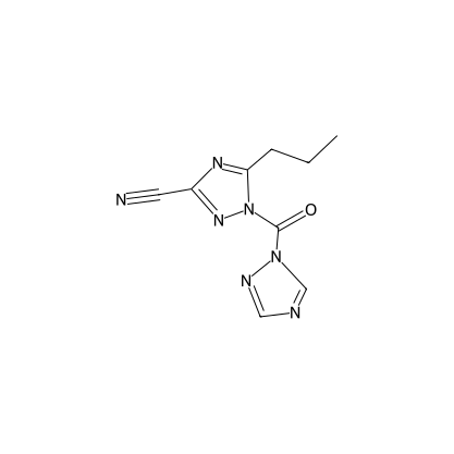 CCCc1nc(C#N)nn1C(=O)n1cncn1